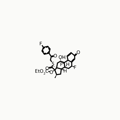 CCOC(=O)O[C@]1(C(=O)SCC(=O)c2ccc(F)cc2)[C@H](C)C[C@H]2[C@@H]3C[C@H](F)C4=CC(=O)C=C[C@]4(C)[C@@]3(F)[C@@H](O)C[C@@]21C